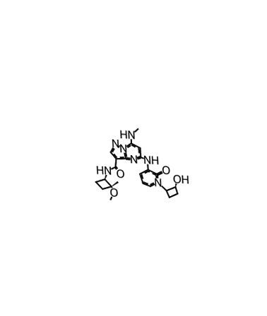 CNc1cc(Nc2cccn(C3CC[C@@H]3O)c2=O)nc2c(C(=O)N[C@@H]3CC[C@@]3(C)OC)cnn12